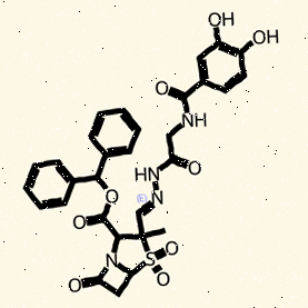 CC1(/C=N/NC(=O)CNC(=O)c2ccc(O)c(O)c2)C(C(=O)OC(c2ccccc2)c2ccccc2)N2C(=O)CC2S1(=O)=O